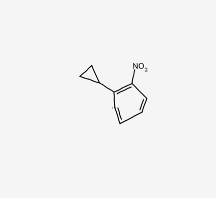 O=[N+]([O-])c1ccc[c]c1C1CC1